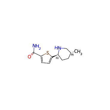 C[C@@H]1CC[C@@H](c2ccc(C(N)=O)s2)NC1